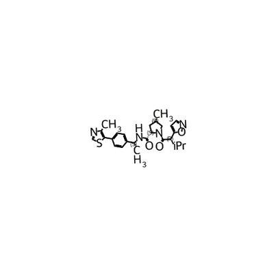 Cc1ncsc1-c1ccc([C@H](C)NC(=O)[C@@H]2C[C@@H](C)CN2C(=O)[C@@H](c2ccno2)C(C)C)cc1